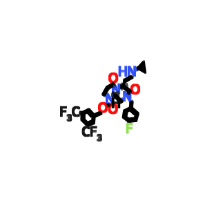 O=C1[C@H](CCNC2CC2)N2C(=O)CCN(C(=O)OCc3cc(C(F)(F)F)cc(C(F)(F)F)c3)[C@H]2CN1Cc1ccc(F)cc1